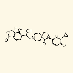 Cc1c(C(O)CN2CCC3(CC2)CCN(c2ccc(=O)n(C4CC4)n2)C3=O)ccc2c1COC2=O